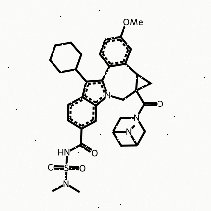 COc1ccc2c(c1)C1CC1(C(=O)N1CC3CC(C1)N3C)Cn1c-2c(C2CCCCC2)c2ccc(C(=O)NS(=O)(=O)N(C)C)cc21